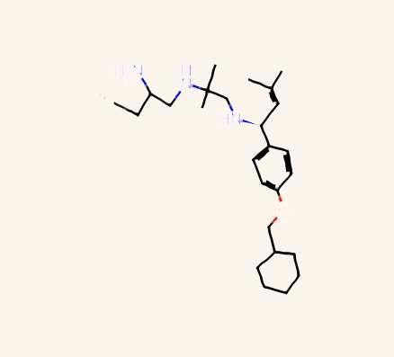 CC(C)=C[C@H](NCC(C)(C)NCC(N)CC(C)C)c1ccc(OCC2CCCCC2)cc1